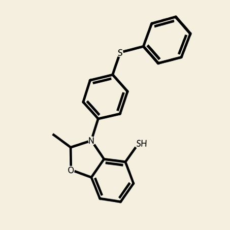 CC1Oc2cccc(S)c2N1c1ccc(Sc2ccccc2)cc1